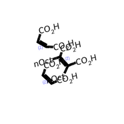 CCCCCCCC/C(C(=O)O)=C(\CCCCCCCC)C(=O)O.O=C(O)/C=C\C(=O)O.O=C(O)/C=C\C(=O)O